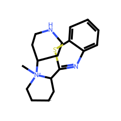 C[N+]1(C2CCNCC2)CC[CH]CC1c1nc2ccccc2s1